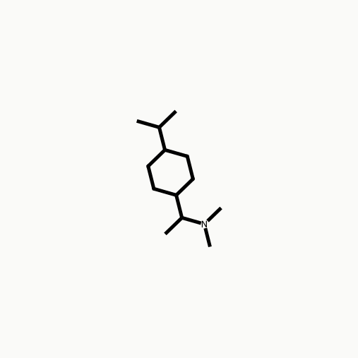 CC(C)C1CCC(C(C)N(C)C)CC1